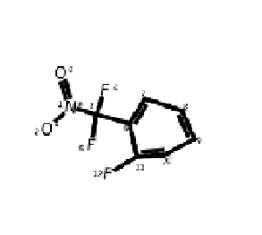 O=[N+]([O-])C(F)(F)c1ccccc1F